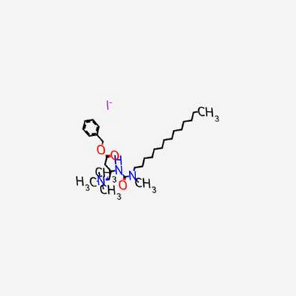 CCCCCCCCCCCCCCN(C)C(=O)NC(CC(=O)OCc1ccccc1)C[N+](C)(C)C.[I-]